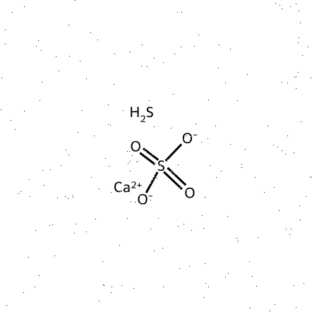 O=S(=O)([O-])[O-].S.[Ca+2]